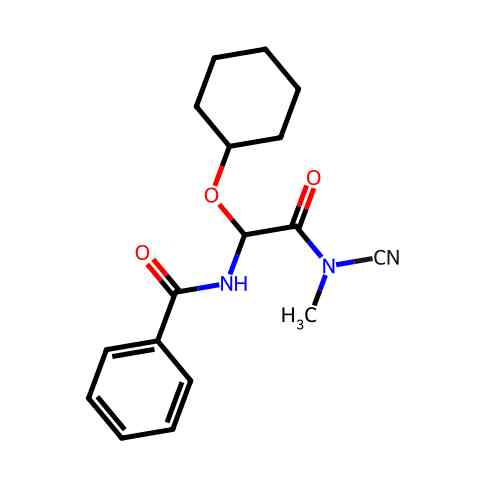 CN(C#N)C(=O)C(NC(=O)c1ccccc1)OC1CCCCC1